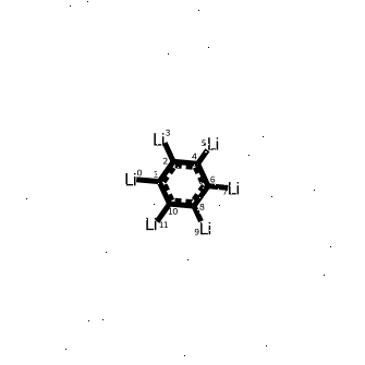 [Li][c]1[c]([Li])[c]([Li])[c]([Li])[c]([Li])[c]1[Li]